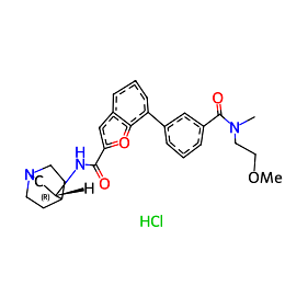 COCCN(C)C(=O)c1cccc(-c2cccc3cc(C(=O)N[C@H]4CN5CCC4CC5)oc23)c1.Cl